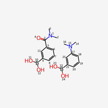 CN(C)C(=O)c1cccc(B(O)O)c1.CN(C)c1cccc(B(O)O)c1